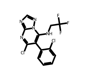 FC(F)(F)CNc1c(-c2ccccc2Cl)c(Cl)nc2ncnn12